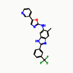 Cc1cc2nc(-c3cccc(C(F)(F)F)c3)[nH]c2cc1Nc1ncc(-c2cccnc2)o1